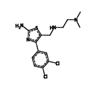 CN(C)CCNCc1sc(N)nc1-c1ccc(Cl)c(Cl)c1